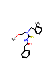 COCCN(Cc1ccccc1C)C(=S)NC(=O)Cc1ccccc1